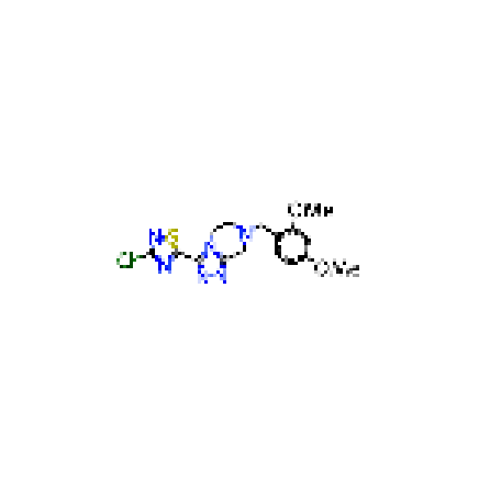 COc1ccc(CN2CCn3c(nnc3-c3nc(Cl)ns3)C2)c(OC)c1